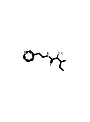 CCC(C)[C@H](N)C(=S)NCCc1cccnc1